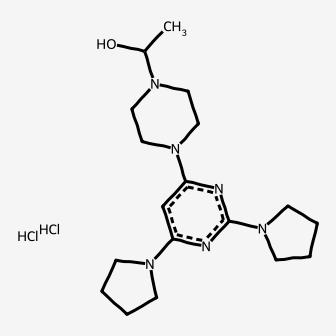 CC(O)N1CCN(c2cc(N3CCCC3)nc(N3CCCC3)n2)CC1.Cl.Cl